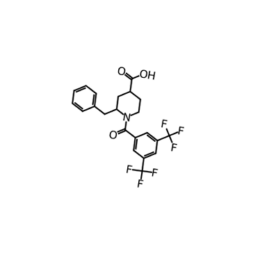 O=C(O)C1CCN(C(=O)c2cc(C(F)(F)F)cc(C(F)(F)F)c2)C(Cc2ccccc2)C1